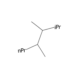 CCCC(C)C(C)C(C)C